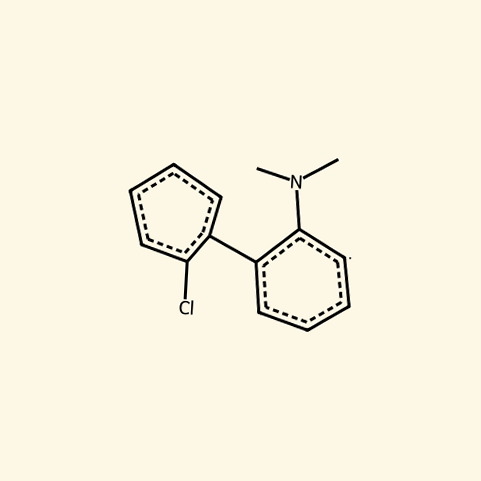 CN(C)c1[c]cccc1-c1ccccc1Cl